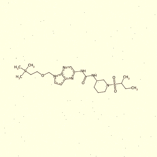 CCC(C)S(=O)(=O)N1CCCC(NC(=O)Nc2cnc3c(ccn3COCC[Si](C)(C)C)n2)C1